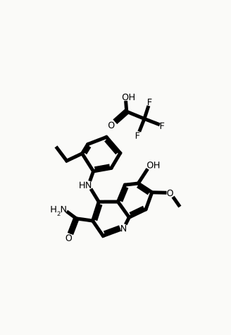 CCc1ccccc1Nc1c(C(N)=O)cnc2cc(OC)c(O)cc12.O=C(O)C(F)(F)F